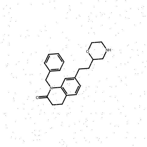 O=C1CCc2ccc(CCC3CNCCO3)cc2N1Cc1ccccc1